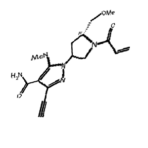 C#Cc1nn(C2C[C@H](COC)N(C(=O)C=C)C2)c(NC)c1C(N)=O